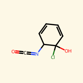 O=C=NC1C=CC=CC1(O)Cl